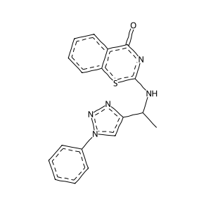 CC(Nc1nc(=O)c2ccccc2s1)c1cn(-c2ccccc2)nn1